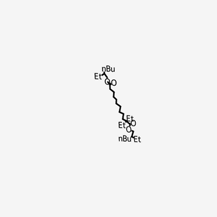 CCCCC(CC)COC(=O)CCCCCCCCCC(CC)(CC)C(=O)OCC(CC)CCCC